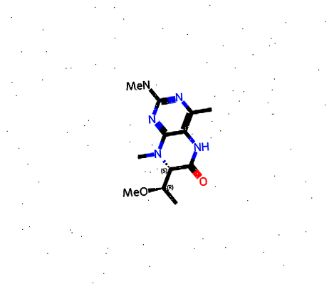 CNc1nc(C)c2c(n1)N(C)[C@@H]([C@@H](C)OC)C(=O)N2